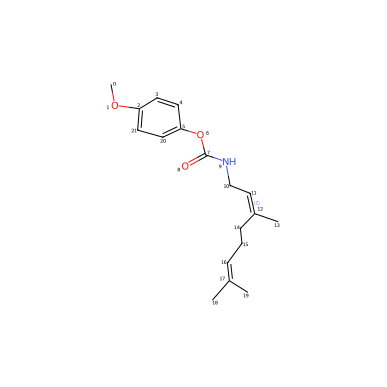 COc1ccc(OC(=O)NC/C=C(/C)CCC=C(C)C)cc1